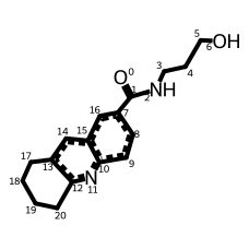 O=C(NCCCO)c1ccc2nc3c(cc2c1)CCCC3